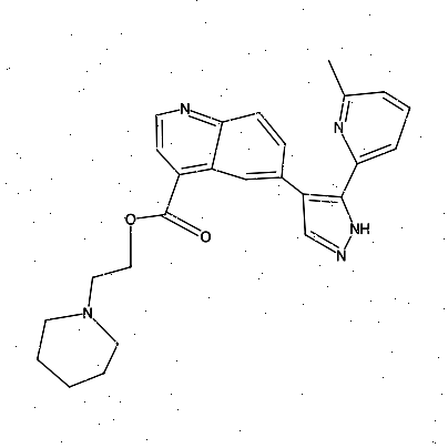 Cc1cccc(-c2[nH]ncc2-c2ccc3nccc(C(=O)OCCN4CCCCC4)c3c2)n1